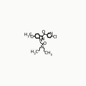 CCCN(CCC)C(=O)Cn1nc(C(=O)c2ccc(Cl)nc2)c2ccc(OC)cc21